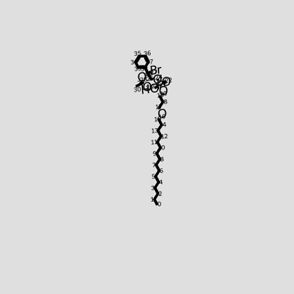 CCCCCCCCCCCCCCCCOCCCOP(=O)(O)OCC(Br)(OC(C)=O)c1ccccc1